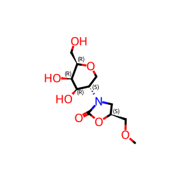 COC[C@@H]1CN([C@H]2CO[C@H](CO)[C@H](O)[C@@H]2O)C(=O)O1